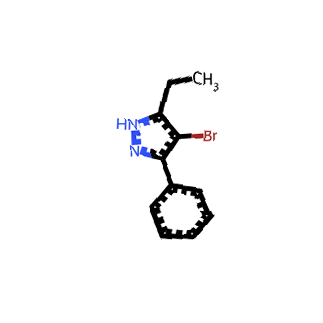 CCc1[nH]nc(-c2ccccc2)c1Br